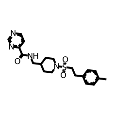 Cc1ccc(CCS(=O)(=O)N2CCC(CNC(=O)c3ccncn3)CC2)cc1